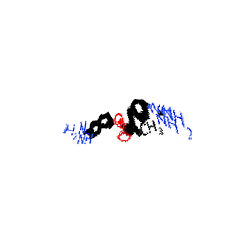 CCC(=Cc1ccc(NC(=N)N)cc1)C(=O)Oc1ccc2cc(C(=N)N)ccc2c1